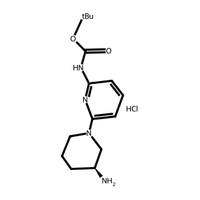 CC(C)(C)OC(=O)Nc1cccc(N2CCC[C@H](N)C2)n1.Cl